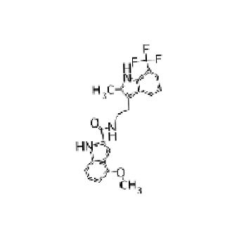 COc1cccc2[nH]c(C(=O)NCCc3c(C)[nH]c4c(C(F)(F)F)cccc34)cc12